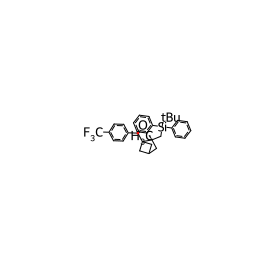 CC(C)(C)[Si](C[C@]1(C)CC2CC1(C(=O)c1ccc(C(F)(F)F)cc1)C2)(c1ccccc1)c1ccccc1